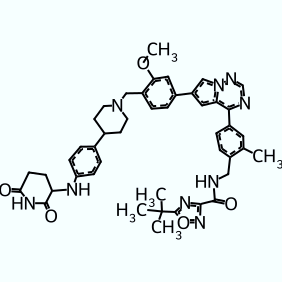 COc1cc(-c2cc3c(-c4ccc(CNC(=O)c5noc(C(C)(C)C)n5)c(C)c4)ncnn3c2)ccc1CN1CCC(c2ccc(NC3CCC(=O)NC3=O)cc2)CC1